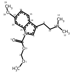 COCOC(=O)n1cc(CCN(C)C)c2ccc(OC)cc21